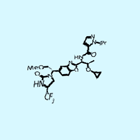 COC[C@H](c1ccc2oc([C@@H](NC(=O)c3ccnn3C(C)C)[C@@H](C)OC3CC3)nc2c1)N1C[C@@H](C(F)(F)F)NC1=O